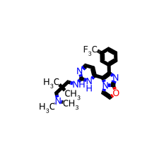 CN(C)CC(C)(C)CNC1N=CC=C(c2c(-c3cccc(C(F)(F)F)c3)nc3occn23)N1